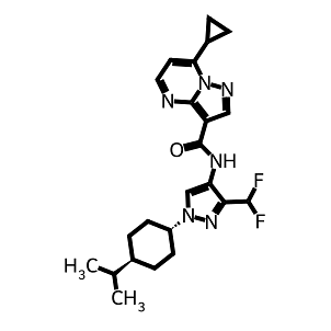 CC(C)[C@H]1CC[C@H](n2cc(NC(=O)c3cnn4c(C5CC5)ccnc34)c(C(F)F)n2)CC1